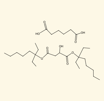 CCCCCC(CC)(CC)OC(=O)CC(O)C(=O)OC(CC)(CC)CCCCC.O=C(O)CCCCC(=O)O